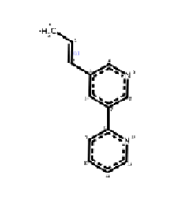 [CH2]/C=C/c1cncc(-c2ccccn2)c1